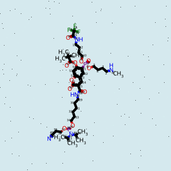 CNCCCCOP(=O)(OCCCCNC(=O)C(F)(F)F)c1cc2cc(C(=O)NCCCCCCOP(OCCC#N)N(C(C)C)C(C)C)c(=O)oc2cc1OC(=O)C(C)(C)C